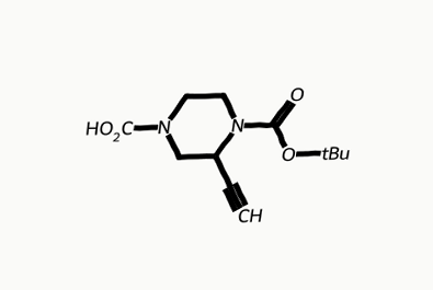 C#CC1CN(C(=O)O)CCN1C(=O)OC(C)(C)C